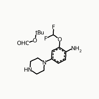 CC(C)(C)OC=O.Nc1ccc(N2CCNCC2)cc1OC(F)F